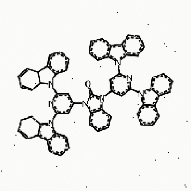 O=c1n(-c2cc(N3c4ccccc4C4C=CC=CC43)nc(-n3c4c(c5ccccc53)C=CCC4)c2)c2ccccc2n1-c1cc(-n2c3ccccc3c3ccccc32)nc(-n2c3ccccc3c3ccccc32)c1